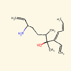 C=C/C(=C\C=C/C)C(C)(O)C(C)CCC(N)C=C